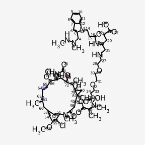 CNN(C)Cc1cc2ccccc2n1CCC(=O)N[C@@H](CCC(=O)O)CNCCOCCOCCP(=O)(O)N(C)[C@@H](C)C(=O)O[C@H]1CC(=O)N(C)c2cc(cc(OC)c2Cl)C/C(C)=C/C=C/[C@@H](OC)[C@@]2(O)C[C@H](OC(=O)N2)[C@@H](C)[C@@H]2C[C@]12C